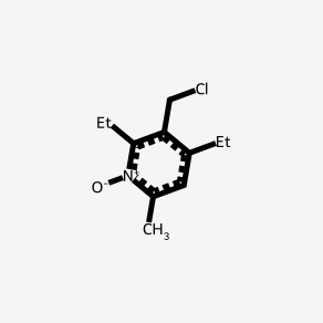 CCc1cc(C)[n+]([O-])c(CC)c1CCl